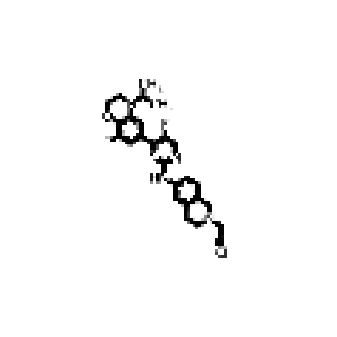 C#CCN1CCc2cc(Nc3ncc(F)c(-c4cc(F)c5c(c4)N(C(C)C)CCO5)n3)ccc2C1